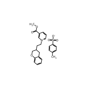 COC(=O)c1ccc[n+](CCC2COc3ccccc3C2)c1.Cc1ccc(S(=O)(=O)[O-])cc1